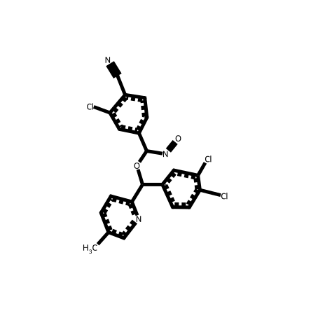 Cc1ccc(C(OC(N=O)c2ccc(C#N)c(Cl)c2)c2ccc(Cl)c(Cl)c2)nc1